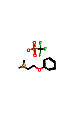 C[S+](C)CCOc1ccccc1.O=S(=O)([O-])C(F)(F)F